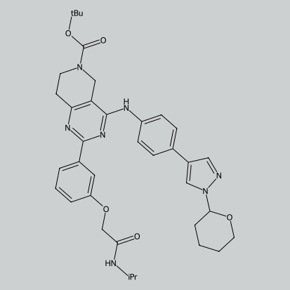 CC(C)NC(=O)COc1cccc(-c2nc3c(c(Nc4ccc(-c5cnn(C6CCCCO6)c5)cc4)n2)CN(C(=O)OC(C)(C)C)CC3)c1